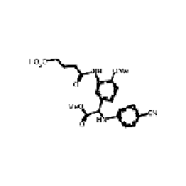 COC(=O)C(Nc1ccc(C#N)cc1)c1ccc(OC)c(NC(=O)CCCC(=O)O)c1